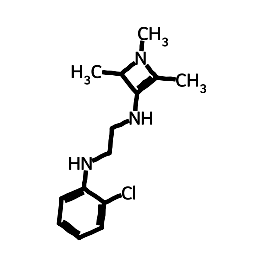 CC1=C(NCCNc2ccccc2Cl)C(C)N1C